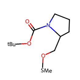 CSOCC1CCCN1C(=O)OC(C)(C)C